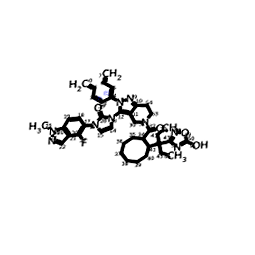 C=C/C=C\C(=C/C=C)n1nc2c(c1-n1ccn(-c3ccc4c(cnn4C)c3F)c1=O)CN(C(=O)C1CCCCCCC1C(CC)(CC)c1noc(O)n1)CC2